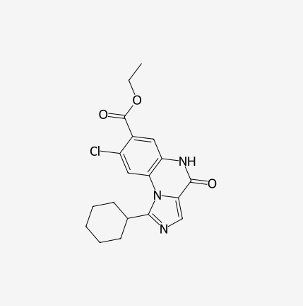 CCOC(=O)c1cc2[nH]c(=O)c3cnc(C4CCCCC4)n3c2cc1Cl